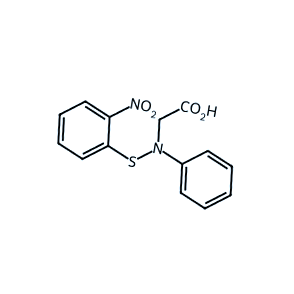 O=C(O)CN(Sc1ccccc1[N+](=O)[O-])c1ccccc1